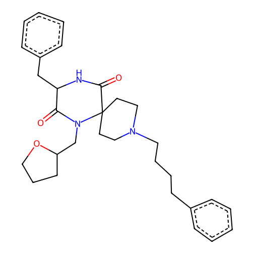 O=C1C(Cc2ccccc2)NC(=O)C2(CCN(CCCCc3ccccc3)CC2)N1CC1CCCO1